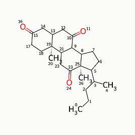 CCCC(C)C1CCC2C3C(=O)CC4CC(=O)CC[C@]4(C)C3CC(=O)[C@]12C